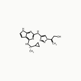 C=C(CO)n1cc(Nc2nc(N[C@@H](C)C3CC3)c3cc[nH]c3n2)nn1